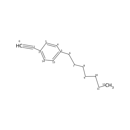 C#Cc1ccc(CCCCCCC)cc1